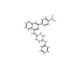 CN(C)c1ccc(-c2cc3ncccc3c(NC3CCN(Cc4ccccc4)CC3)n2)cc1